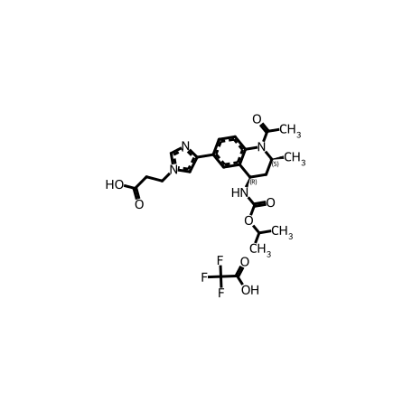 CC(=O)N1c2ccc(-c3cn(CCC(=O)O)cn3)cc2[C@H](NC(=O)OC(C)C)C[C@@H]1C.O=C(O)C(F)(F)F